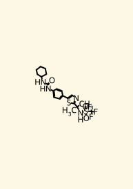 CC(C)(NS(=O)(=O)C(F)(F)F)c1ncc(-c2ccc(NC(=O)NC3CCCCC3)cc2)s1